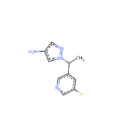 CC(c1cncc(F)c1)n1cc(N)cn1